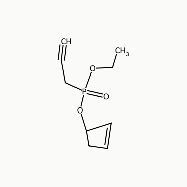 C#CCP(=O)(OCC)OC1C=CC1